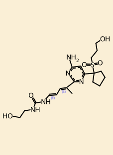 C/C(=C\C=C\NC(=O)NCCO)c1nc(N)cc(C2(S(=O)(=O)CCCO)CCCC2)n1